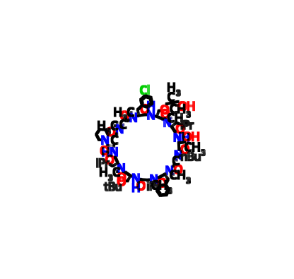 CCCCN1CC(=O)N(C)[C@@H](Cc2ccccc2)C(=O)N(C)[C@@H](C(C)C)C(=O)N[C@@H](COC(C)(C)C)C(=O)N(C)[C@@H](CC(C)C)C(=O)N[C@H](C(=O)N2CCCCC2)CC(=O)N(C)CC(=O)N(C)[C@@H](Cc2cccc(Cl)c2)C(=O)N[C@@H](COCC(C)(C)CO)C(=O)N(C)[C@@H](CC(C)C)C(=O)N[C@@H]([C@@H](C)O)C1=O